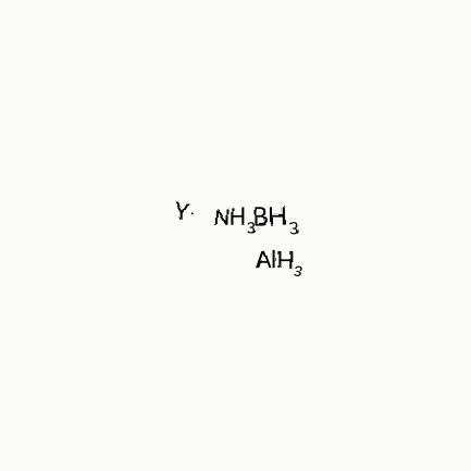 B.N.[AlH3].[Y]